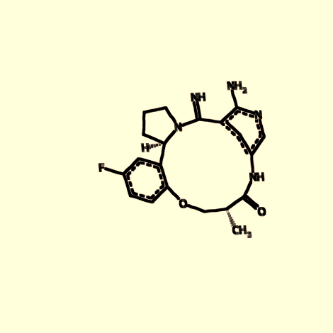 C[C@@H]1COc2ccc(F)cc2[C@H]2CCCN2C(=N)c2cc(cnc2N)NC1=O